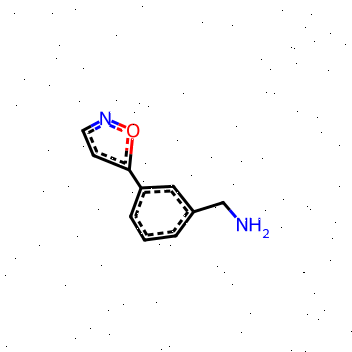 NCc1cccc(-c2ccno2)c1